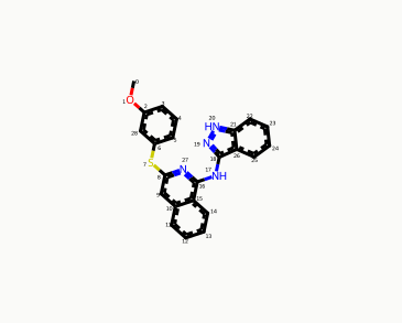 COc1cccc(Sc2cc3ccccc3c(Nc3n[nH]c4ccccc34)n2)c1